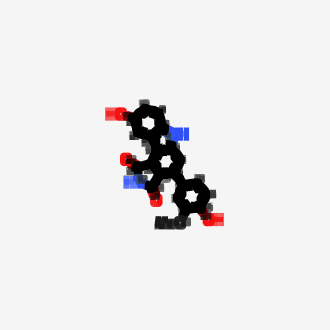 COc1cc(-c2cc3[nH]c4ccc(O)cc4c3c3c2C(=O)NC3=O)ccc1O